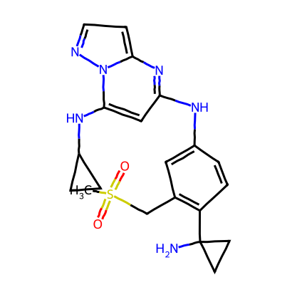 CS(=O)(=O)Cc1cc(Nc2cc(NC3CC3)n3nccc3n2)ccc1C1(N)CC1